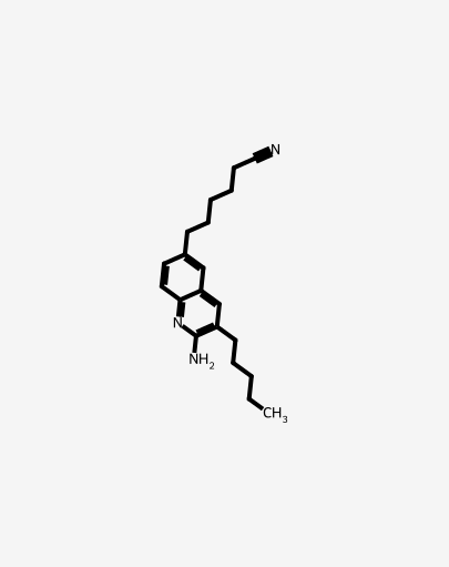 CCCCCc1cc2cc(CCCCCC#N)ccc2nc1N